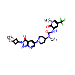 COC1CC(n2[nH]c3ncc(N4CCC(N(C)C(=O)Nc5cc(C(F)(F)F)cn(C)c5=O)CC4)cc3c2=O)C1